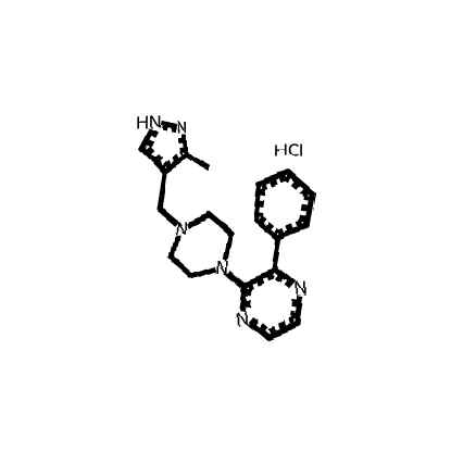 Cc1n[nH]cc1CN1CCN(c2nccnc2-c2ccccc2)CC1.Cl